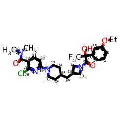 CCOc1cccc(C(O)(C(=O)N2CC(CC3CCN(c4ccc(C(=O)N(C)C)c(Cl)n4)CC3)C2)C(F)(F)F)c1